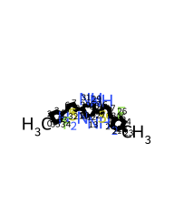 Cc1ccc(-c2ccc(C3=C(N)C(N)=C(c4ccc(-c5ccc(C)cc5F)s4)C(=N)C3=N)s2)c(F)c1